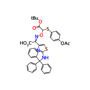 CC(=O)Oc1ccc(SC(ON=C(C(=O)O)c2csc(NC(c3ccccc3)(c3ccccc3)c3ccccc3)n2)C(=O)OC(C)(C)C)cc1